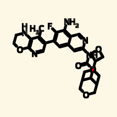 Cc1c(-c2cc3cc(NC(=O)OC4C5COCC4CN(C4COC4)C5)ncc3c(N)c2F)cnc2c1NCCO2